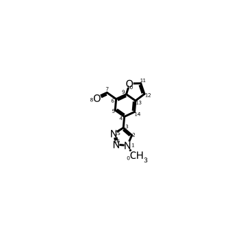 Cn1cc(-c2cc(C=O)c3occc3c2)nn1